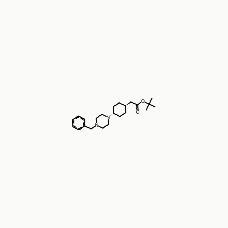 CC(C)(C)OC(=O)C[C@H]1CC[C@H](N2CCN(Cc3ccccc3)CC2)CC1